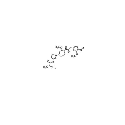 COc1cc(CC(=O)NC2CC=CC(c3cccc(OC(=O)C(C)C)c3)=C[C@@H]2OC)ccc1N=O